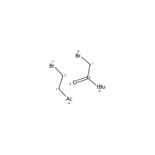 CC(=O)CCBr.CC(C)(C)C(=O)CBr